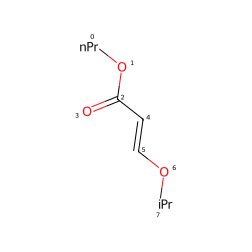 CCCOC(=O)C=COC(C)C